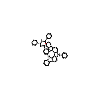 c1ccc(-c2nc(-c3ccccc3)nc(-c3ccc(-n4c5ccccc5c5ccc6c(c7c8oc9ccccc9c8ccc7n6-c6ccccc6)c54)cc3)n2)cc1